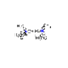 Cc1ccc(N(c2ccc(-c3ccc(-c4ccc(N(c5ccc(C)cc5)c5ccc6c(c5)C(C)(C)c5ccccc5-6)cc4)cc3)cc2)c2ccc3c(c2)C(C)(C)c2ccccc2-3)cc1